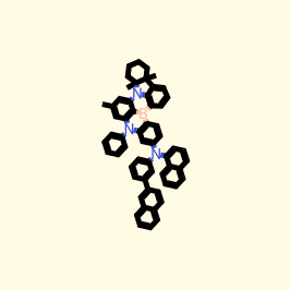 Cc1cc2c3c(c1)N1c4c(cccc4C4(C)CCCCC14C)B3c1ccc(N(c3cccc(-c4ccc5ccccc5c4)c3)c3cccc4ccccc34)cc1N2c1ccccc1